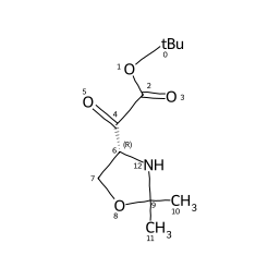 CC(C)(C)OC(=O)C(=O)[C@H]1COC(C)(C)N1